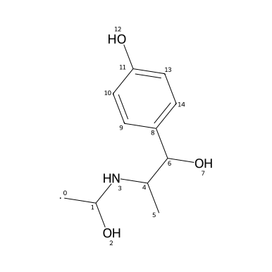 [CH2]C(O)NC(C)C(O)c1ccc(O)cc1